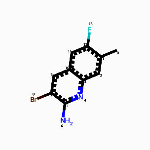 Cc1cc2nc(N)c(Br)cc2cc1F